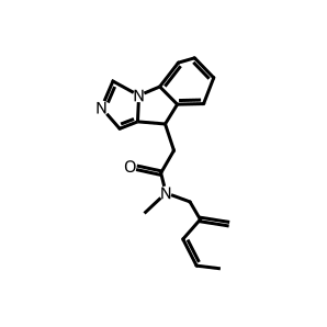 C=C(/C=C\C)CN(C)C(=O)CC1c2ccccc2-n2cncc21